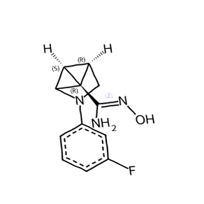 N/C(=N\O)[C@@]12C3[C@H]1[C@H]2CN3c1cccc(F)c1